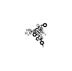 CC(C(=O)N(C(CCCNC(=N)N)C(=O)OCc1ccccc1)[N+](=O)[O-])N(C(=O)C1CCCN1C(=O)c1ccc(I)cc1)c1ccccc1